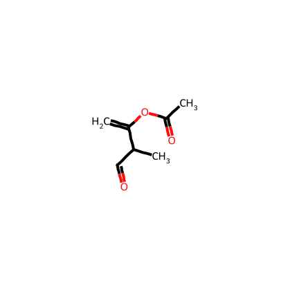 C=C(OC(C)=O)C(C)C=O